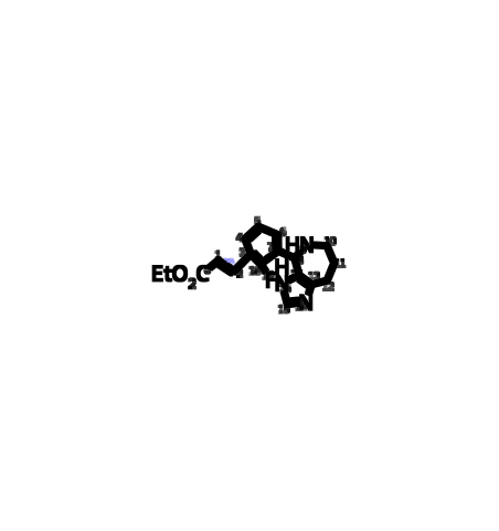 CCOC(=O)/C=C/c1cccc(C2NCCCc3nc[nH]c32)c1F